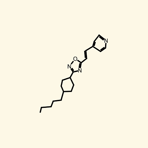 CCCCCC1CCC(c2noc(/C=C/c3ccncc3)n2)CC1